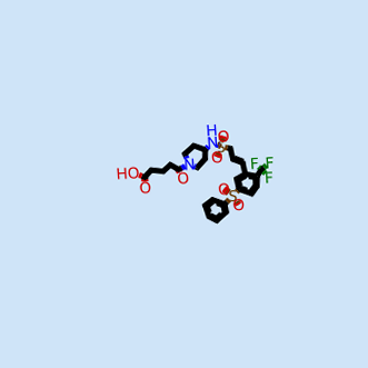 O=C(O)CCCC(=O)N1CCC(NS(=O)(=O)CC=Cc2cc(S(=O)(=O)c3ccccc3)ccc2C(F)(F)F)CC1